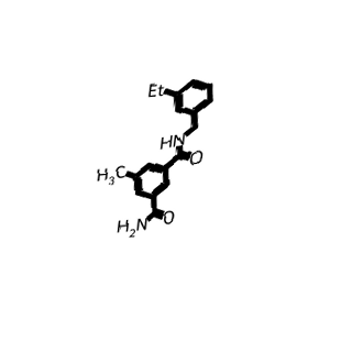 CCc1cccc(CNC(=O)c2cc(C)cc(C(N)=O)c2)c1